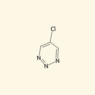 Clc1cnnnc1